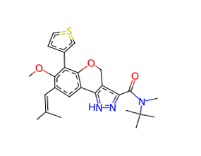 COc1c(C=C(C)C)cc2c(c1-c1ccsc1)OCc1c(C(=O)N(C)C(C)(C)C)n[nH]c1-2